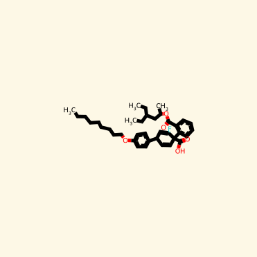 CCCCCCCCCOc1ccc(C2C=CC(C(=O)O)(c3ccccc3C(=O)OC(C)CC(CC)CC)C(F)=C2)cc1